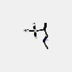 C=C(/C=C/C)S(=O)(=O)O